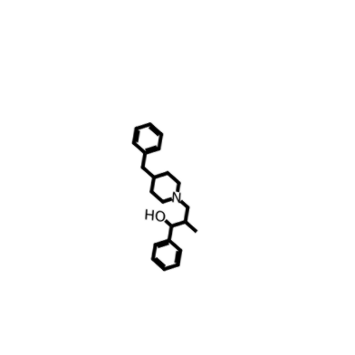 CC(CN1CCC(Cc2ccccc2)CC1)C(O)c1ccccc1